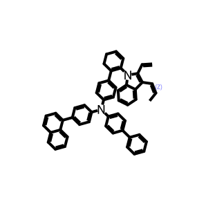 C=Cc1c(/C=C\C)c2ccccc2n1C1=C(c2ccc(N(c3ccc(-c4ccccc4)cc3)c3ccc(-c4cccc5ccccc45)cc3)cc2)CCC=C1